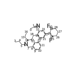 CC#N.CCCN(Cc1ccccc1)C(CC)CCc1ccc(C2C(F)CCCC2F)cc1